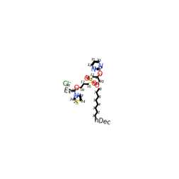 CCCCCCCCCCCCCCCCCCOCC(CS(=O)(=O)CCCOC(CC)[n+]1ccsc1)Oc1ncccn1.[Cl-]